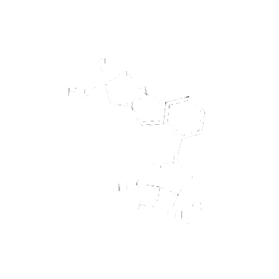 CC1(C)OB(c2cccc3nn(C[Si](C)(C)C)cc23)OC1(C)C